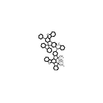 Cc1ccccc1N(c1ccc2c(c1)C(C)(C)c1c3c(c4oc5ccccc5c4c1-2)-c1ccccc1C3(C)C)c1ccc2c(c1)C1(c3ccccc3-c3ccccc31)c1cc(-c3ccccc3)c3oc4ccccc4c3c1-2